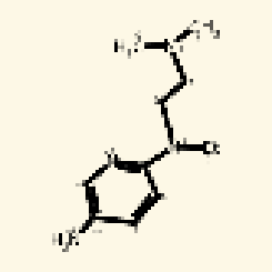 CCN(CCN(C)C)c1ccc(N)cn1